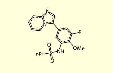 CCCS(=O)(=O)Nc1cc(-c2cnc3ccccn23)cc(F)c1OC